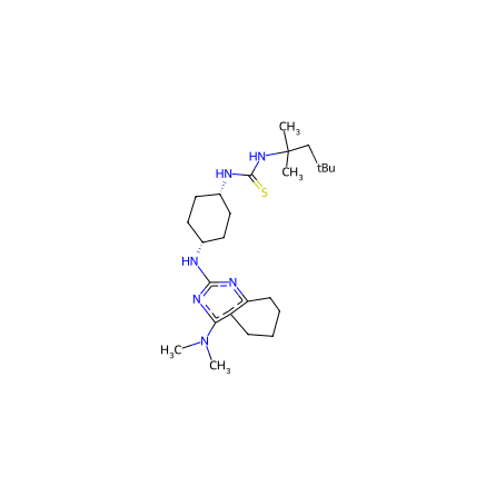 CN(C)c1nc(N[C@H]2CC[C@@H](NC(=S)NC(C)(C)CC(C)(C)C)CC2)nc2c1CCCC2